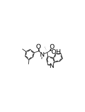 Cc1cc(C)cc(C(=O)N(C)[C@@](C)(C(=O)O)c2ccnc3ccccc23)c1